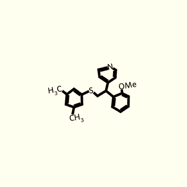 COc1ccccc1C(CSc1cc(C)cc(C)c1)c1ccncc1